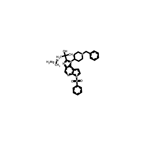 CBr.CC(C)(O)c1nc2cnc3c(ccn3S(=O)(=O)c3ccccc3)c2n1C1CCN(Cc2ccccc2)CC1.[MgH2]